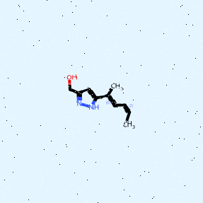 C/C=C\C=C(/C)c1cc(CO)n[nH]1